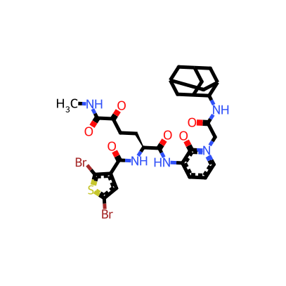 CNC(=O)C(=O)CC[C@H](NC(=O)c1cc(Br)sc1Br)C(=O)Nc1cccn(CC(=O)NC2C3CC4CC(C3)CC2C4)c1=O